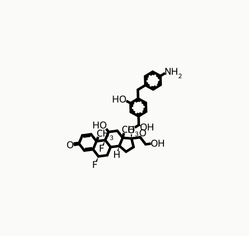 CC12C=CC(=O)C=C1[C@@H](F)CC1[C@@H]3CC[C@](O[C@@H](O)c4ccc(Cc5ccc(N)cc5)c(O)c4)(C(=O)CO)C3(C)CC(O)[C@@]12F